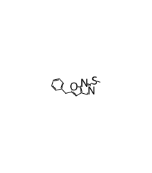 CSc1ncc2cc(Cc3ccccc3)oc2n1